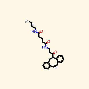 CC(C)/C=C/CNC(=O)CCCC(=O)NCCC(=O)C1Cc2ccccc2/C=C\c2ccccc21